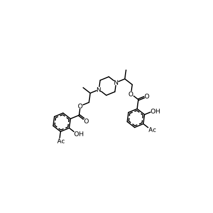 CC(=O)c1cccc(C(=O)OCC(C)N2CCN(C(C)COC(=O)c3cccc(C(C)=O)c3O)CC2)c1O